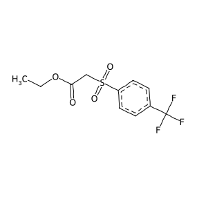 CCOC(=O)CS(=O)(=O)c1ccc(C(F)(F)F)cc1